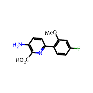 COc1cc(F)ccc1-c1ccc(N)c(C(=O)O)n1